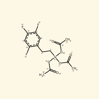 CC(=O)O[Si](CCc1cc(F)c(F)cc1F)(OC(C)=O)OC(C)=O